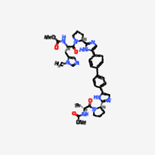 COC(=O)N[C@@H](Cc1cncn1C)C(=O)N1CCC[C@H]1c1ncc(-c2ccc(-c3ccc(-c4cnc([C@@H]5CCCN5C(=O)[C@H](NC(=O)OC)C(C)C)[nH]4)cc3)cc2)[nH]1